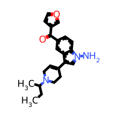 CCC(C)N1CC=C(c2cn(N)c3ccc(C(=O)c4ccoc4)cc23)CC1